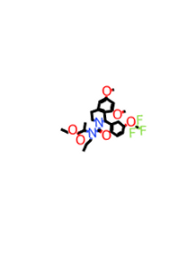 CCCN(C(=O)N1CCc2cc(OC)cc(OC)c2C1C1=CC=CC(OC(F)(F)F)C1)C(C)C(=O)OCC